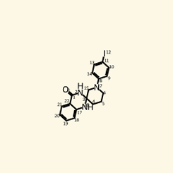 O=C1NC2(CCCN(c3ccc(I)cc3)C2)Nc2ccccc21